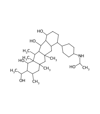 CC(O)NC1CCC(C2CCC(O)C3C(O)C4C(C)C5(C)C(O)C(C(C)O)C(C)CC5(C)CC4(C)CC23)CC1